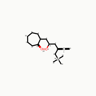 C=C=C(CC(O)CC1CCCCCC1=O)C[Si](C)(C)C